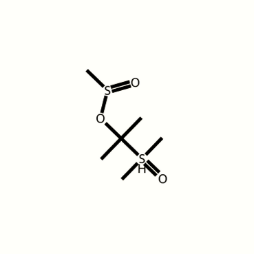 CS(=O)OC(C)(C)[SH](C)(C)=O